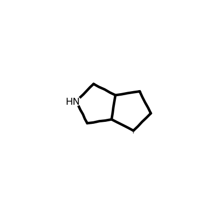 [CH]1CCC2CNCC12